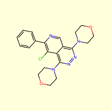 Clc1c(-c2ccccc2)ncc2c(N3CCOCC3)nnc(N3CCOCC3)c12